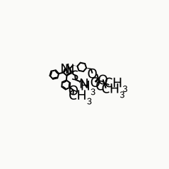 COc1cccc(-c2c(-c3ccccc3)nn(C[C@H]3CC[C@H](COCC(=O)OC(C)(C)C)CC3)c2SCC#N)c1